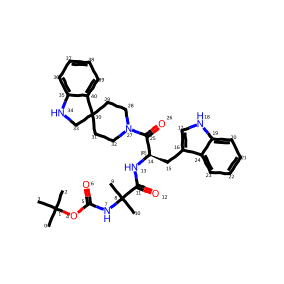 CC(C)(C)OC(=O)NC(C)(C)C(=O)N[C@H](Cc1c[nH]c2ccccc12)C(=O)N1CCC2(CC1)CNc1ccccc12